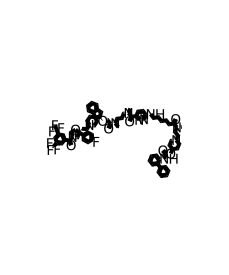 CN(CCN1CCC(OC(=O)Nc2ccccc2-c2ccccc2)CC1)C(=O)CCCCCNc1ccc(C(=O)N(C)CCCN(C)C(=O)CO[C@H]2Cc3ccccc3C23CCN(CC[C@]2(c4ccc(F)cc4)CN(C(=O)c4cc(C(F)(F)F)cc(C(F)(F)F)c4)CO2)CC3)nn1